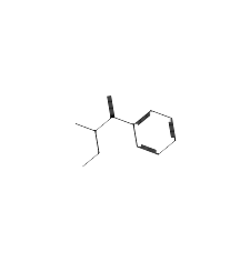 [CH]=C(c1ccccc1)C(C)CC